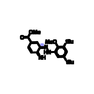 COC(=O)C1=C/C(=N/Nc2cc(C(C)(C)C)cc(C(C)(C)C)c2OC)C(=N)C=C1